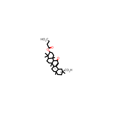 CC12CC[C@](C)(C(=O)O)CC1C1=CC(=O)C3C4(C)CCC(OC(=O)CCC(=O)O)C(C)(C)C4CCC3(C)[C@]1(C)CC2